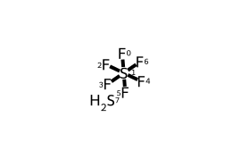 FS(F)(F)(F)(F)F.S